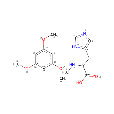 CNC(Cc1cnc[nH]1)C(=O)O.COc1cc(OC)cc(OC)c1